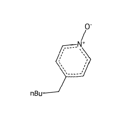 CCCCCc1cc[n+]([O-])cc1